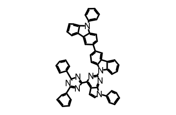 c1ccc(-c2nc(-c3ccccc3)nc(-c3nc(-n4c5ccccc5c5cc(-c6ccc7c(c6)c6ccccc6n7-c6ccccc6)ccc54)nc4c3ccn4-c3ccccc3)n2)cc1